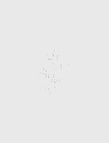 COCCCC[C@@](O)(c1cccc(Cl)c1F)[C@@H]1CCCN(C(=O)NC[C@@H](N)[C@@H](O)C2C3CC4CC(C3)C2C4)C1